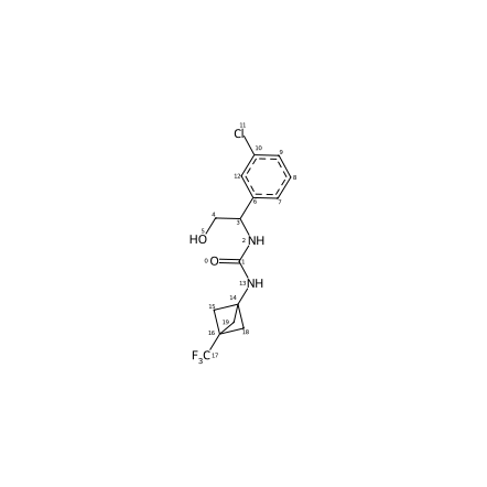 O=C(NC(CO)c1cccc(Cl)c1)NC12CC(C(F)(F)F)(C1)C2